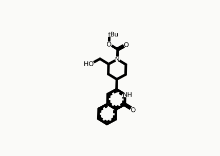 CC(C)(C)OC(=O)N1CCC(c2cc3ccccc3c(=O)[nH]2)CC1CO